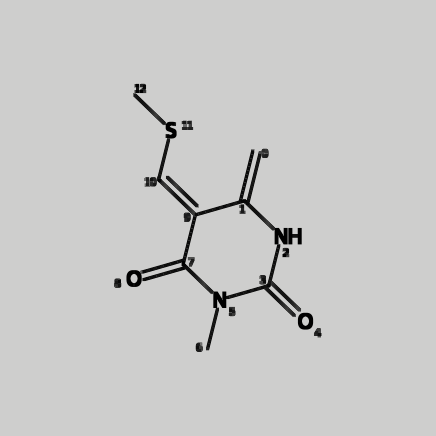 C=c1[nH]c(=O)n(C)c(=O)/c1=C/SC